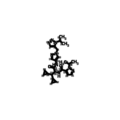 CC(C)n1nncc1Cn1cc(NC(=O)[C@@H](NC(=O)c2ccnn2C(C)C)C(C2CC2)C2CC2)cn1